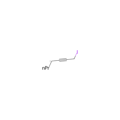 CCC[CH]C#CCI